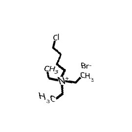 CC[N+](CC)(CC)CCCCCl.[Br-]